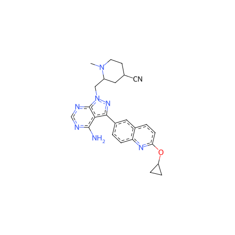 CN1CCC(C#N)CC1Cn1nc(-c2ccc3nc(OC4CC4)ccc3c2)c2c(N)ncnc21